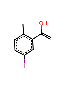 C=C(O)c1cc(I)ccc1C